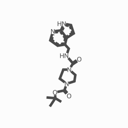 CC(C)(C)OC(=O)N1CCN(C(=O)NCc2ccnc3[nH]ccc23)CC1